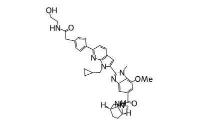 COc1cc(C(=O)N2C[C@H]3CC[C@@H]2[C@@H]3N)cc2nc(-c3cc4ccc(-c5ccc(CC(=O)NCCO)cc5)nc4n3CC3CC3)n(C)c12